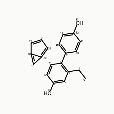 CCc1cc(O)ccc1-c1ccc(O)cc1.c1cc2cc-2c1